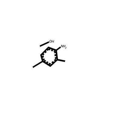 CO.Cc1ccc(N)c(C)c1